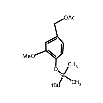 COc1cc(COC(C)=O)ccc1O[Si](C)(C)C(C)(C)C